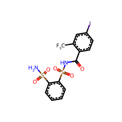 NS(=O)(=O)c1ccccc1S(=O)(=O)NC(=O)c1ccc(I)cc1C(F)(F)F